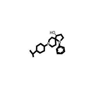 CC(C)C1CCC(N2CCC3(CC2)[C@H](O)CCN3c2ccccc2)CC1